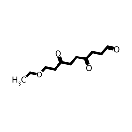 CCOCCC(=O)CCC(=O)CCC=O